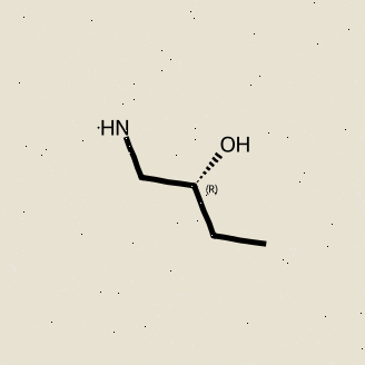 CC[C@@H](O)C[NH]